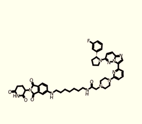 O=C(CN1CCN(c2cccc(-c3cnc4ccc(N5CCC[C@@H]5c5cccc(F)c5)nn34)n2)CC1)NCCCCCCCNc1ccc2c(c1)C(=O)N(C1CCC(=O)NC1=O)C2=O